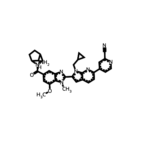 COc1cc(C(=O)N2CC3CCC2[C@@H]3N)cc2nc(-c3cc4ccc(-c5ccnc(C#N)c5)nc4n3CC3CC3)n(C)c12